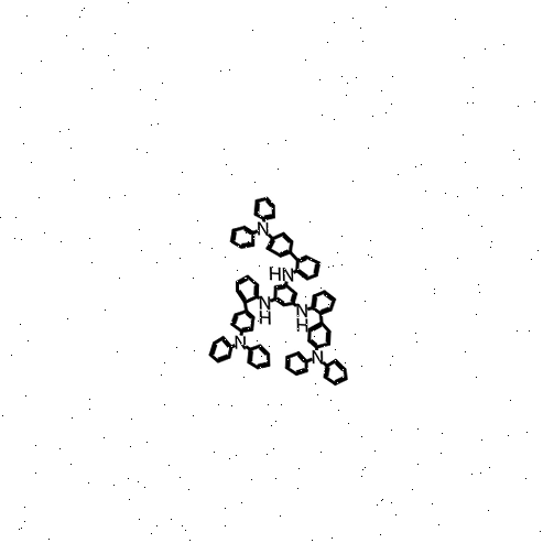 c1ccc(N(c2ccccc2)c2ccc(-c3ccccc3Nc3cc(Nc4ccccc4-c4ccc(N(c5ccccc5)c5ccccc5)cc4)cc(Nc4ccccc4-c4ccc(N(c5ccccc5)c5ccccc5)cc4)c3)cc2)cc1